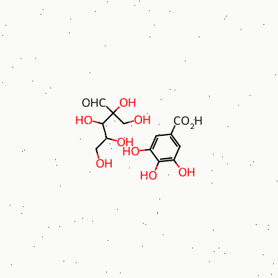 O=C(O)c1cc(O)c(O)c(O)c1.O=CC(O)(CO)C(O)C(O)CO